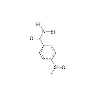 CCN(CC)C(=O)c1ccc([S+](C)[O-])cc1